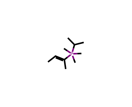 C/C=C(\C)P(C)(C)(C)C(C)C